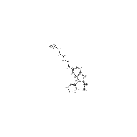 CCC(C)Nc1nc2ccc(OCCCCCC(=O)O)cc2n1-c1ccccc1